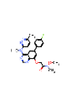 CON(C)C(=O)COc1cc(-c2ccc(F)cc2)cc2c(N(C)c3ccc(C)nn3)ncnc12